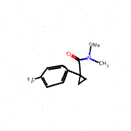 CON(C)C(=O)C1(c2ccc(C(F)(F)F)cc2)CC1